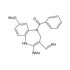 CNC1=C(C=N)CN(C(=O)c2ccccc2)c2cc(OC)ccc2N1